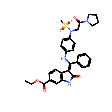 CCOC(=O)c1ccc2c(c1)NC(=O)C2=C(Nc1ccc(N(CC(=O)N2CCCC2)S(C)(=O)=O)cc1)c1ccccc1